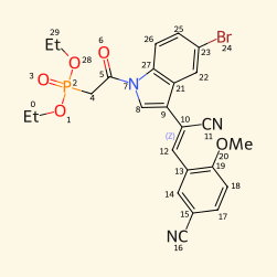 CCOP(=O)(CC(=O)n1cc(/C(C#N)=C/c2cc(C#N)ccc2OC)c2cc(Br)ccc21)OCC